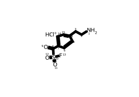 Cl.NCCc1ccc(C(=O)S(=O)(=O)F)cc1